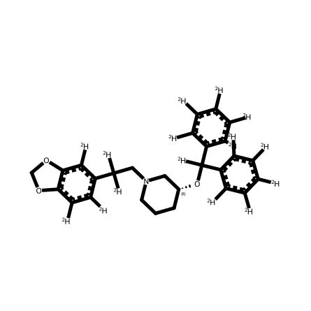 [2H]c1c([2H])c([2H])c(C([2H])(O[C@@H]2CCCN(CC([2H])([2H])c3c([2H])c([2H])c4c(c3[2H])OCO4)C2)c2c([2H])c([2H])c([2H])c([2H])c2[2H])c([2H])c1[2H]